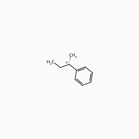 [CH2]C[C@H](C)c1ccccc1